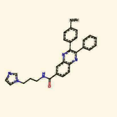 CC(=O)Nc1ccc(-c2nc3cc(C(=O)NCCCn4ccnc4)ccc3nc2-c2ccccc2)cc1